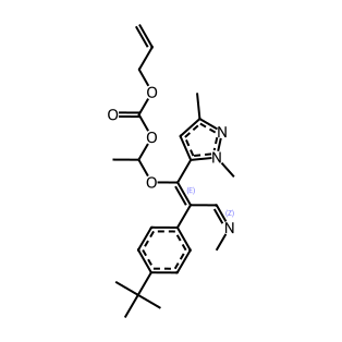 C=CCOC(=O)OC(C)O/C(=C(/C=N\C)c1ccc(C(C)(C)C)cc1)c1cc(C)nn1C